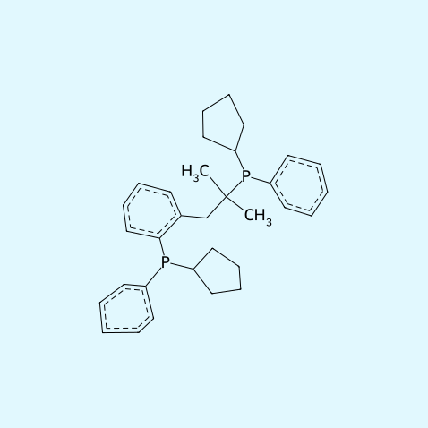 CC(C)(Cc1ccccc1P(c1ccccc1)C1CCCC1)P(c1ccccc1)C1CCCC1